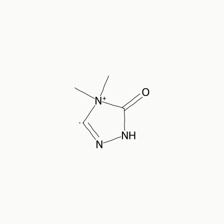 C[N+]1(C)[C]=NNC1=O